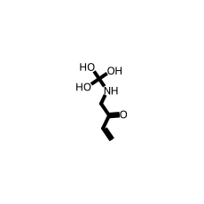 C=CC(=O)CNC(O)(O)O